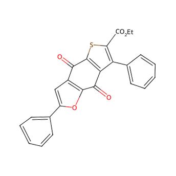 CCOC(=O)c1sc2c(c1-c1ccccc1)C(=O)c1oc(-c3ccccc3)cc1C2=O